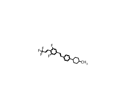 CC1CCC(c2ccc(/C=C/c3cc(F)c(/C=C/C(F)(F)F)c(F)c3)cc2)CC1